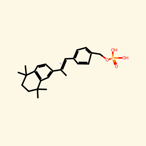 C/C(=C\c1ccc(COP(=O)(O)O)cc1)c1ccc2c(c1)C(C)(C)CCC2(C)C